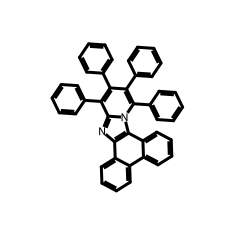 c1ccc(-c2c(-c3ccccc3)c(-c3ccccc3)n3c(nc4c5ccccc5c5ccccc5c43)c2-c2ccccc2)cc1